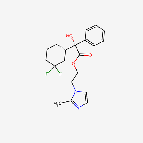 Cc1nccn1CCOC(=O)[C@](O)(c1ccccc1)[C@H]1CCCC(F)(F)C1